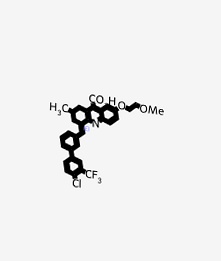 COCCOc1ccc2nc3c(c(C(=O)O)c2c1)CC(C)C/C3=C\c1cccc(-c2ccc(Cl)c(C(F)(F)F)c2)c1